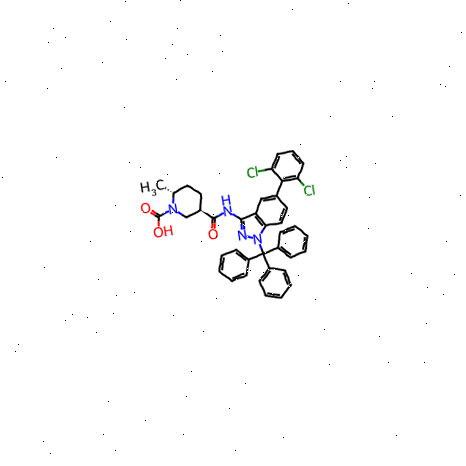 C[C@@H]1CC[C@@H](C(=O)Nc2nn(C(c3ccccc3)(c3ccccc3)c3ccccc3)c3ccc(-c4c(Cl)cccc4Cl)cc23)CN1C(=O)O